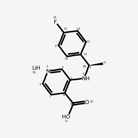 C[C@@H](Nc1cnccc1C(=O)O)c1ccc(F)cc1.[LiH]